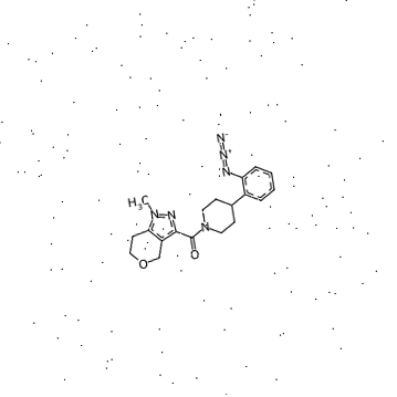 Cn1nc(C(=O)N2CCC(c3ccccc3N=[N+]=[N-])CC2)c2c1CCOC2